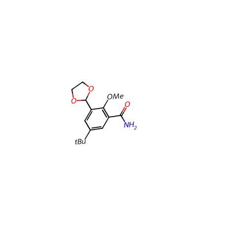 COc1c(C(N)=O)cc(C(C)(C)C)cc1C1OCCO1